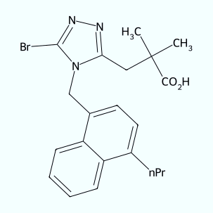 CCCc1ccc(Cn2c(Br)nnc2CC(C)(C)C(=O)O)c2ccccc12